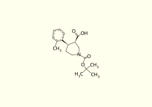 Cc1ccccc1[C@@H]1CCN(C(=O)OC(C)(C)C)C[C@@H]1C(=O)O